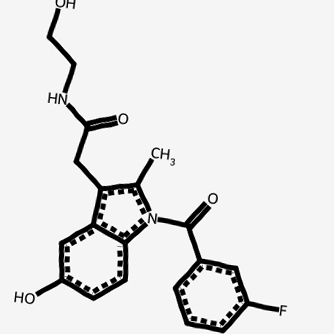 Cc1c(CC(=O)NCCO)c2cc(O)ccc2n1C(=O)c1cccc(F)c1